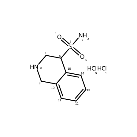 Cl.Cl.NS(=O)(=O)C1CNCc2ccccc21